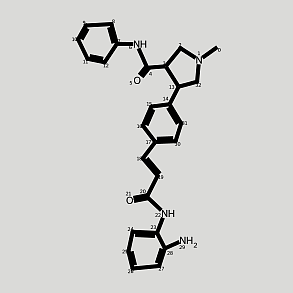 CN1CC(C(=O)Nc2ccccc2)C(c2ccc(/C=C/C(=O)Nc3ccccc3N)cc2)C1